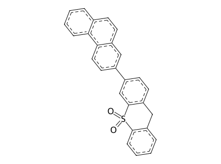 O=S1(=O)c2ccccc2Cc2ccc(-c3ccc4c(ccc5ccccc54)c3)cc21